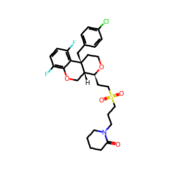 O=C1CCCCN1CCCS(=O)(=O)CC[C@@H]1OCC[C@@]2(Cc3ccc(Cl)cc3)c3c(F)ccc(F)c3OC[C@@H]12